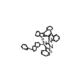 c1ccc(-c2ccc3cc(-c4nc(-n5c6ccccc6c6c7ccccc7c7c8ccccc8sc7c65)nc5sc6ccccc6c45)ccc3c2)cc1